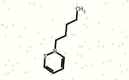 CCCCCN1C=CC=CS1